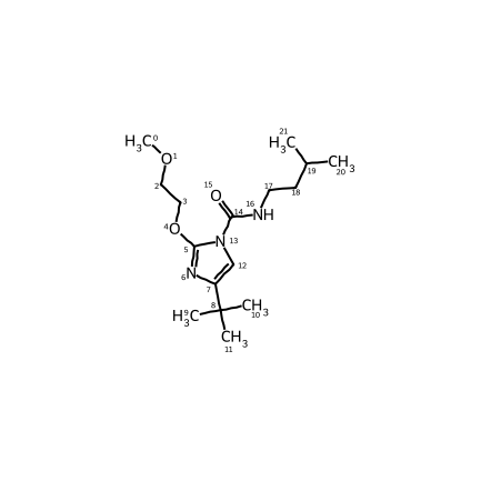 COCCOc1nc(C(C)(C)C)cn1C(=O)NCCC(C)C